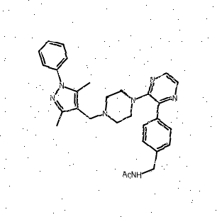 CC(=O)NCc1ccc(-c2nccnc2N2CCN(Cc3c(C)nn(-c4ccccc4)c3C)CC2)cc1